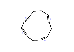 [CH]1/C=C\C/C=C\C=C\CC/C=C/1